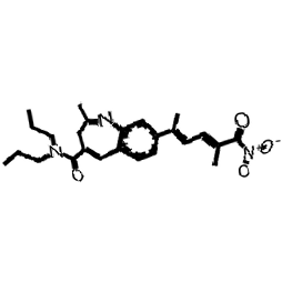 CCCN(CCC)C(=O)C1=Cc2ccc(/C(C)=C/C=C(\C)C(=O)[N+](=O)[O-])cc2N=C(C)C1